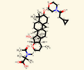 CC(=O)N(C[C@H]1C[C@@H](C)[C@H]2[C@H](O1)[C@H](O)[C@@]1(C)[C@@H]3CC[C@H]4C(C)(C)C(O[C@H]5CN(C(=O)CC6CC6)CCO5)CCC45C[C@@]35CC[C@]21C)C(C)(C)C(=O)O